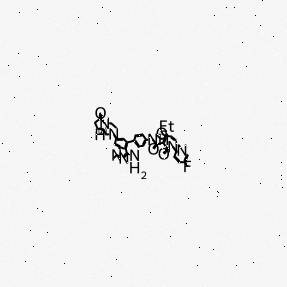 CCOc1ccn(-c2ccc(F)cn2)c(=O)c1C(=O)Nc1ccc(-c2cc(N3CCN4C(=O)CC[C@H]4C3)cc3c2c(N)nn3C)cc1